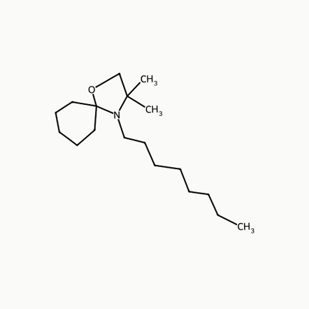 CCCCCCCCN1C(C)(C)COC12CCCCC2